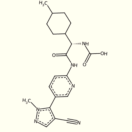 CC1CCC([C@H](NC(=O)O)C(=O)Nc2ccc(-c3c(C#N)cnn3C)cn2)CC1